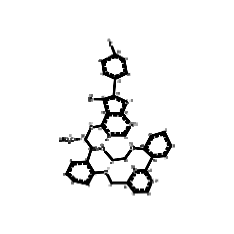 CCOC(=O)[C@@H](Cc1ccccc1OCc1ccnc(-c2ccccc2OCCOC)n1)Oc1ncnc2sc(-c3ccc(F)cc3)c(Br)c12